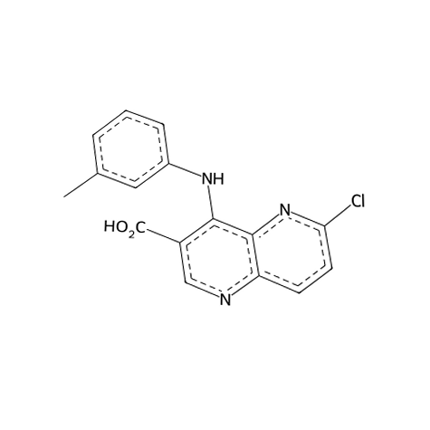 Cc1cccc(Nc2c(C(=O)O)cnc3ccc(Cl)nc23)c1